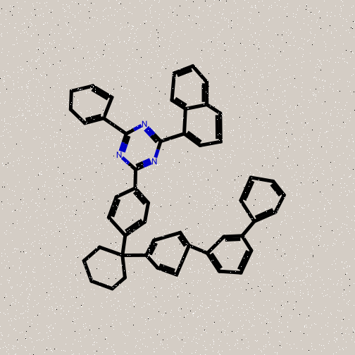 C1=CC(c2nc(-c3ccc(C4(c5ccc(-c6cccc(-c7ccccc7)c6)cc5)CCCCC4)cc3)nc(-c3cccc4ccccc34)n2)=CCC1